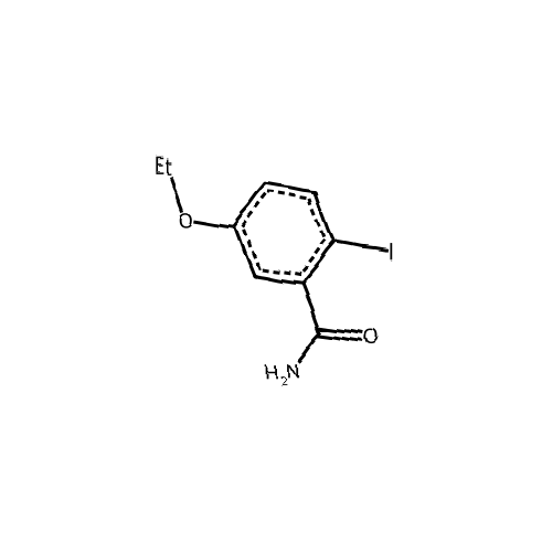 CCOc1ccc(I)c(C(N)=O)c1